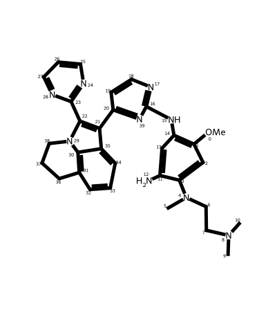 COc1cc(N(C)CCN(C)C)c(N)cc1Nc1nccc(-c2c(-c3ncccn3)n3c4c(cccc24)CCC3)n1